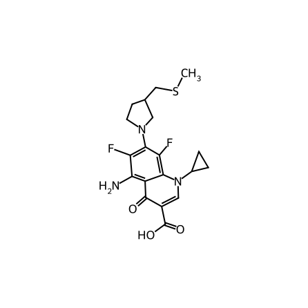 CSCC1CCN(c2c(F)c(N)c3c(=O)c(C(=O)O)cn(C4CC4)c3c2F)C1